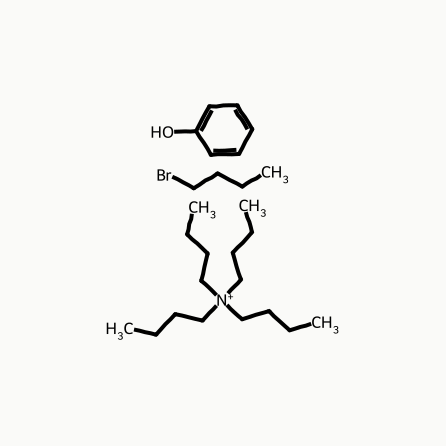 CCCCBr.CCCC[N+](CCCC)(CCCC)CCCC.Oc1ccccc1